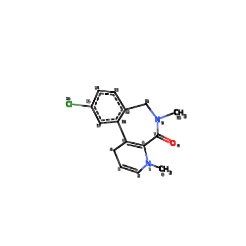 CN1C=CCC2=C1C(=O)N(C)Cc1ccc(Cl)cc12